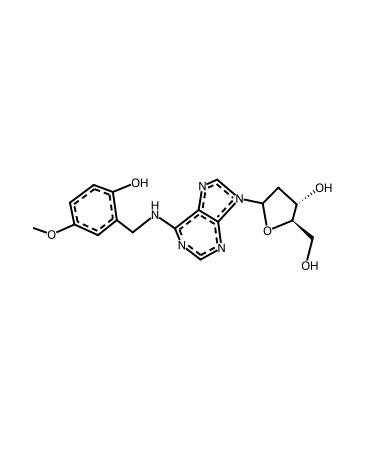 COc1ccc(O)c(CNc2ncnc3c2ncn3C2C[C@H](O)[C@@H](CO)O2)c1